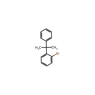 CC(C)(c1ccccc1)c1ccccc1Br